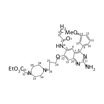 C=CC(=O)Nc1cc2c(-c3cccc(OC)c3)nc(N)nc2cc1OCCCN1CCN(CC(=O)OCC)CC1